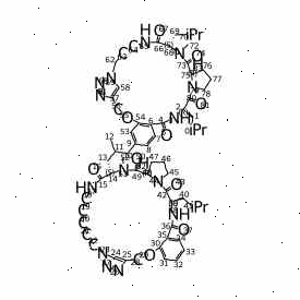 CC(C)C[C@H]1NC(=O)c2ccc(CC(C)C[C@H]3C(=O)NCCCCCn4cc(nn4)COc4ccccc4C(=O)N[C@H](CC(C)C)C(=O)N4CCC[C@@H]4C(=O)N3C)cc2OCc2cn(nn2)CCCNC(=O)[C@H](CC(C)C)N(C)C(=O)[C@H]2CCCN2C1=O